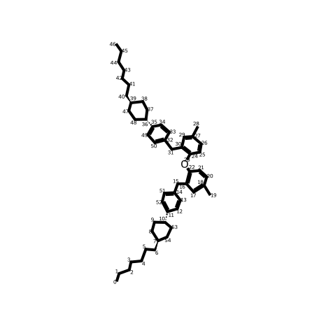 CCCCCCC[C@H]1CC[C@H](c2ccc(Cc3cc(C)ccc3Oc3ccc(C)cc3Cc3ccc([C@H]4CC[C@H](CCCCCCC)CC4)cc3)cc2)CC1